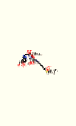 CCCCCCC[S+]([O-])CCCCCC/C=C/[C@H](C(=O)N[C@@H](Cc1ccc(O)cc1)C(=O)OC)[C@@](O)(CCC)C(=O)O